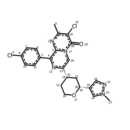 Cc1nc2c(-c3ccc(Cl)cc3)nc([C@H]3CCO[C@@H](c4cnn(C)c4)C3)cn2c(=O)c1Cl